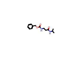 CC(C)NC(=O)CCNC(=O)OCc1ccccc1